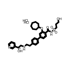 Cl.Cl.O=C(NS(=O)(=O)CCCO)c1ccc(-c2ccc(CCNC[C@H](O)c3cccnc3)cc2)cc1OC1CCCCCC1